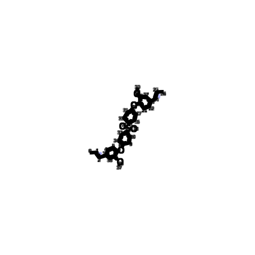 C/C=C/c1ccc(Oc2ccc(S(=O)(=O)c3ccc(Oc4ccc(/C=C/C)cc4OC)cc3)cc2)c(OC)c1